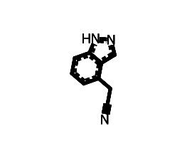 N#CCc1cccc2[nH]ncc12